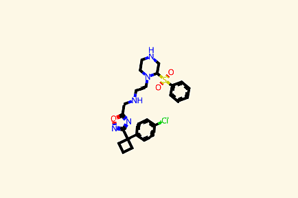 O=S(=O)(c1ccccc1)C1CNCCN1CCNCc1nc(C2(c3ccc(Cl)cc3)CCC2)no1